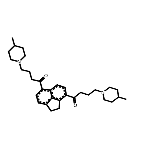 CC1CCN(CCCC(=O)c2ccc3c(C(=O)CCCN4CCC(C)CC4)ccc4c3c2CC4)CC1